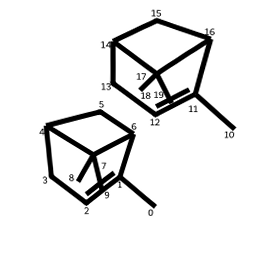 CC1=CCC2CC1C2(C)C.CC1=CCC2CC1C2(C)C